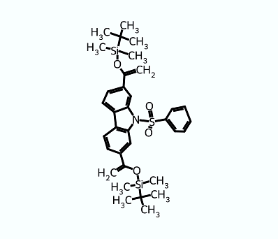 C=C(O[Si](C)(C)C(C)(C)C)c1ccc2c3ccc(C(=C)O[Si](C)(C)C(C)(C)C)cc3n(S(=O)(=O)c3ccccc3)c2c1